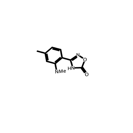 CNc1cc(C)ccc1-c1noc(=O)[nH]1